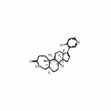 CCc1ccncc1C1=CC[C@H]2[C@@H]3CC[C@H]4CNC(=O)CC[C@]4(C)[C@H]3CC[C@]12C